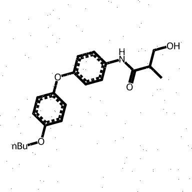 CCCCOc1ccc(Oc2ccc(NC(=O)[C](C)CO)cc2)cc1